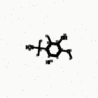 COc1ccc(C(C)(C)N)c(C)c1O.I